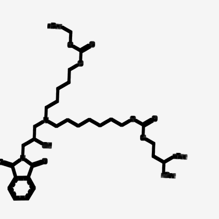 CCCCCCCCCCCOC(=O)OCCCCCN(CCCCCCCOC(=O)OCCC(CCCCCCCCCC)CCCCCCCCCC)CC(O)CN1C(=O)c2ccccc2C1=O